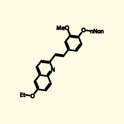 CCCCCCCCCOc1ccc(C=Cc2ccc3cc(OCC)ccc3n2)cc1OC